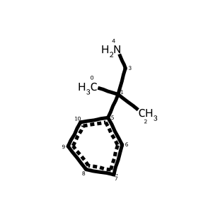 CC(C)(CN)c1c[c]ccc1